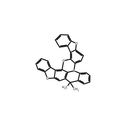 CC1(C)c2ccccc2B2c3ccc4oc5ccccc5c4c3Oc3c2c1cc1oc2ccccc2c31